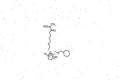 CN(O)C(=O)CCCCSCC[C@@H]1[C@H](CSCC2CCCCC2)[C@@H]2CC[C@H]1O2